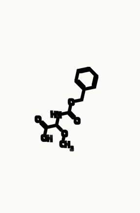 COC(NC(=O)OCc1ccccc1)C(=O)O